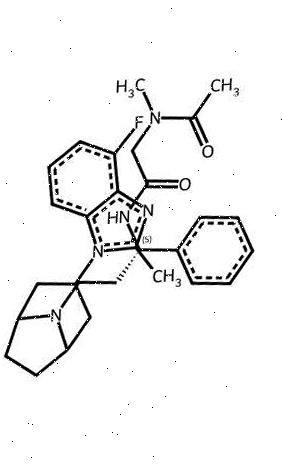 CC(=O)N(C)CC(=O)N[C@@H](CCN1C2CCC1CC(n1c(C)nc3c(F)cccc31)C2)c1ccccc1